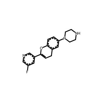 Fc1cncc(C2=CCc3cc(N4CCNCC4)ccc3O2)c1